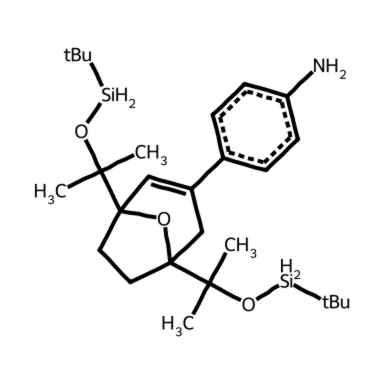 CC(C)(C)[SiH2]OC(C)(C)C12C=C(c3ccc(N)cc3)CC(C(C)(C)O[SiH2]C(C)(C)C)(CC1)O2